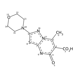 Cc1c(C(=O)O)c(=O)nc2sc(N3CCOCC3)nn12